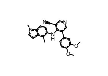 COc1ccc(-c2cncc(C#N)c2Nc2ccc3c(ccn3C)c2C)cc1OC